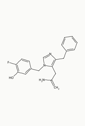 C=C(N)Cc1c(Cc2ccccc2)ncn1Cc1ccc(F)c(O)c1